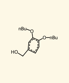 CCCCOc1ccc(CO)cc1OCCCC